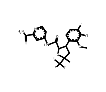 COc1c(C2CC(C)(C(F)(F)F)OC2C(=O)Nc2ccnc(C(N)=O)c2)ccc(F)c1Cl